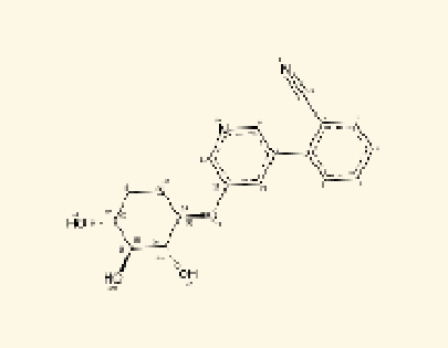 N#Cc1ccccc1-c1cncc(O[C@@H]2SC[C@@H](O)[C@H](O)[C@H]2O)c1